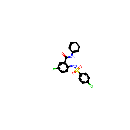 O=C(NC1=CC[CH]C=C1)c1cc(Cl)ccc1NS(=O)(=O)c1ccc(Cl)cc1